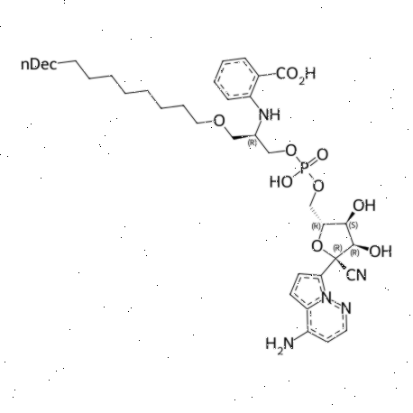 CCCCCCCCCCCCCCCCCCOC[C@H](COP(=O)(O)OC[C@H]1O[C@@](C#N)(c2ccc3c(N)ccnn23)[C@H](O)[C@@H]1O)Nc1ccccc1C(=O)O